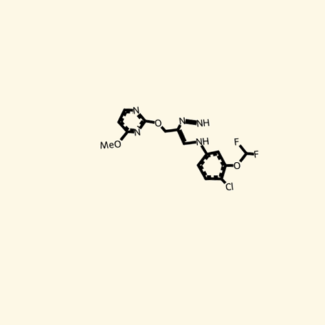 COc1ccnc(OC/C(=C/Nc2ccc(Cl)c(OC(F)F)c2)N=N)n1